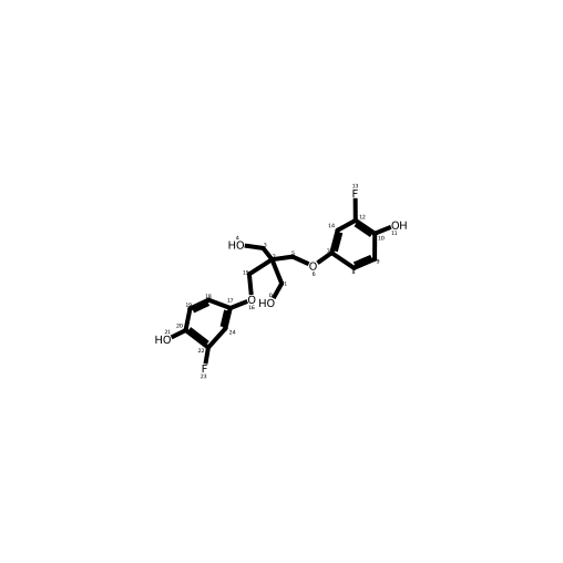 OCC(CO)(COc1ccc(O)c(F)c1)COc1ccc(O)c(F)c1